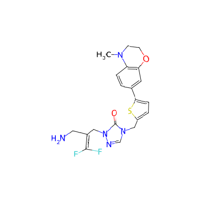 CN1CCOc2cc(-c3ccc(Cn4cnn(CC(CN)=C(F)F)c4=O)s3)ccc21